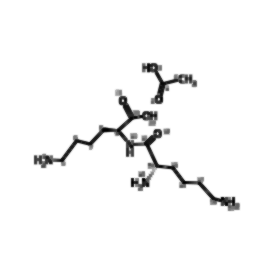 CC(=O)O.NCCCC[C@H](NC(=O)[C@@H](N)CCCCN)C(=O)O